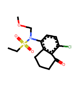 CCS(=O)(=O)N(COC)c1ccc(Cl)c2c1CCCC2=O